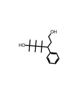 CC(C)(O)C(C)(C)C(C)(C)C(CCO)c1ccccc1